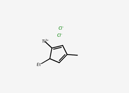 CCC1C=C(C)C=[C]1[Ti+2].[Cl-].[Cl-]